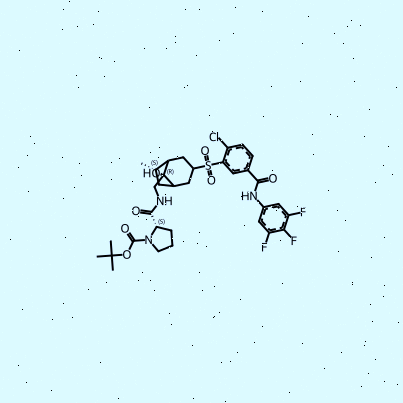 C[C@H]1CC2CC(S(=O)(=O)c3cc(C(=O)Nc4cc(F)c(F)c(F)c4)ccc3Cl)CC1[C@@]2(O)CNC(=O)[C@@H]1CCCN1C(=O)OC(C)(C)C